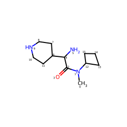 CN(C(=O)C(N)C1CCNCC1)C1CCC1